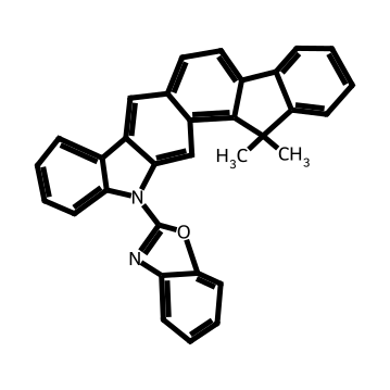 CC1(C)c2ccccc2-c2ccc3cc4c5ccccc5n(-c5nc6ccccc6o5)c4cc3c21